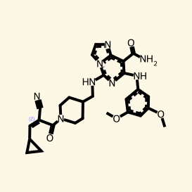 COc1cc(Nc2nc(NCC3CCN(C(=O)/C(C#N)=C\C4CC4)CC3)n3ccnc3c2C(N)=O)cc(OC)c1